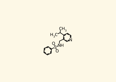 CC(C)c1ccncc1CNS(=O)(=O)c1ccccc1